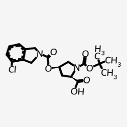 CC(C)(C)OC(=O)N1C[C@H](OC(=O)N2Cc3cccc(Cl)c3C2)C[C@@H]1C(=O)O